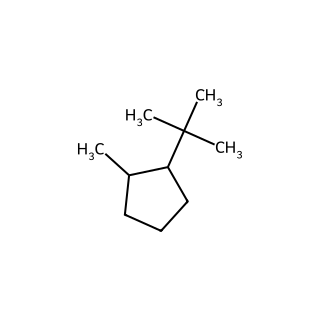 CC1CCCC1C(C)(C)C